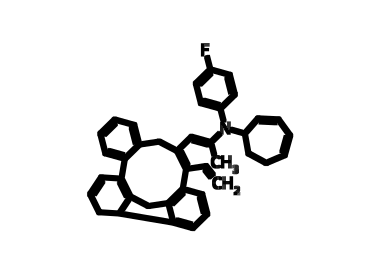 C=C/C1=C(\C=C(/C)N(c2ccc(F)cc2)C2C=CC=CCC2)Cc2ccccc2C2=C3Cc4c1cccc4C3CC=C2